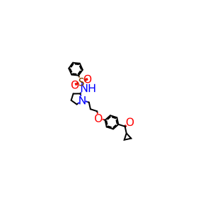 O=C(c1ccc(OCCCN2CCCC2NS(=O)(=O)c2ccccc2)cc1)C1CC1